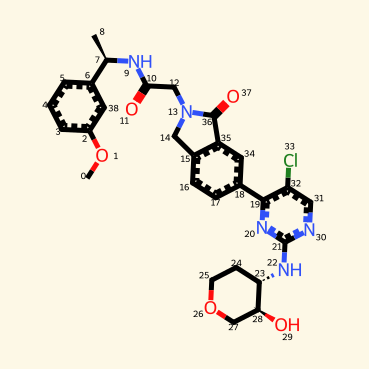 COc1cccc([C@@H](C)NC(=O)CN2Cc3ccc(-c4nc(N[C@H]5CCOC[C@@H]5O)ncc4Cl)cc3C2=O)c1